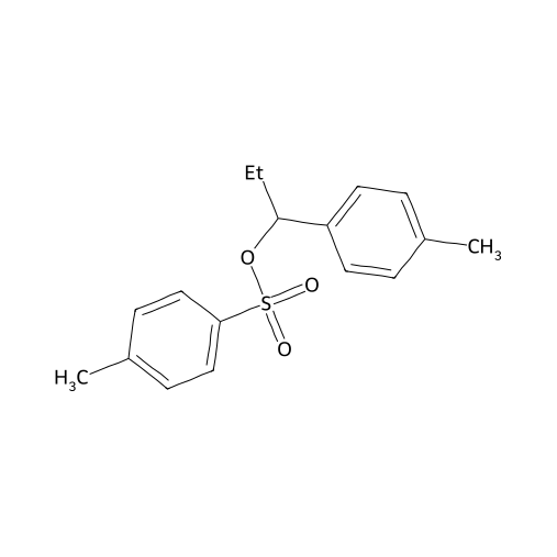 CCC(OS(=O)(=O)c1ccc(C)cc1)c1ccc(C)cc1